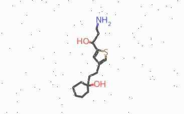 NCCC(O)c1cc(CCC2(O)CCCCC2)cs1